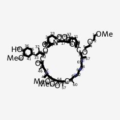 COCCOCCO[C@@H]1C[C@@H]2CC[C@@H](C)[C@@](O)(O2)C(=O)C(=O)N2CCCC[C@H]2C(=O)O[C@H]([C@H](C)C[C@@H]2CC[C@@H](O)[C@H](OC)C2)CC(=O)[C@H](C)/C=C(\C)[C@@H](OC)[C@@H](OC)C(=O)[C@H](C)C[C@H](C)/C=C/C=C/C=C/1C